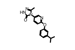 Cc1n[nH]c(=O)n1-c1ccc(Oc2cccc(C(C)C)c2)nc1